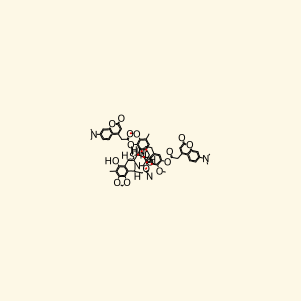 COc1cc2c(cc1OC(=O)Cc1cc(=O)oc3cc(N(C)C)ccc13)CCN[C@]21CS[C@@H]2c3c(O)c(C)c4c(c3[C@H](COC1=O)N1C2[C@@H]2c3c(cc(C)c(OC)c3OC(=O)Cc3cc(=O)oc5cc(N(C)C)ccc35)C[C@@H]([C@@H]1C#N)N2C)OCO4